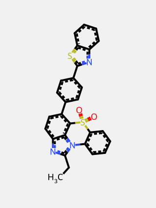 CCc1nc2ccc(-c3ccc(-c4nc5ccccc5s4)cc3)c3c2n1-c1ccccc1S3(=O)=O